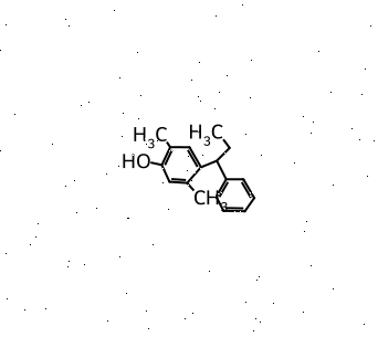 CCC(c1ccccc1)c1cc(C)c(O)cc1C